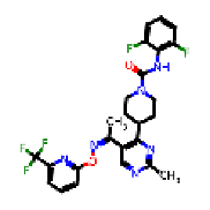 CC(=NOc1cccc(C(F)(F)F)n1)c1cnc(C)nc1C1CCN(C(=O)Nc2c(F)cccc2F)CC1